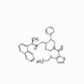 C[C@@H](NCC1CCN(C(=O)c2sccc2SCC(=O)O)CC1c1ccccc1)c1cccc2ccccc12